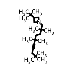 CC(C)(C)CC#CC(C)(C)CCC(C)(C)CN1CC(C(C)(C)C)C1